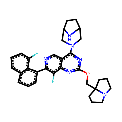 Fc1c(-c2cccc3cccc(F)c23)ncc2c(N3CC4CCC(C3)N4)nc(OCC34CCCN3CCC4)nc12